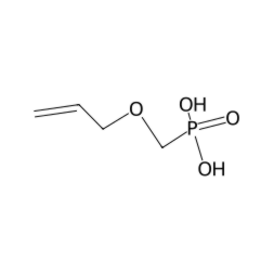 C=CCOCP(=O)(O)O